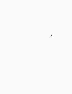 O=C(OC/C=C/C[C@H]1CO1)c1ccccc1